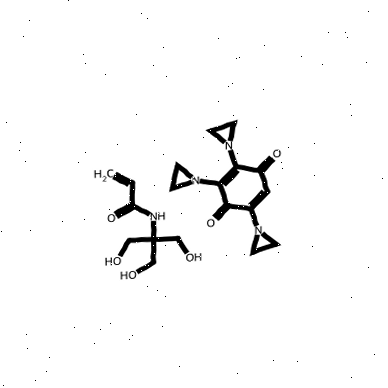 C=CC(=O)NC(CO)(CO)CO.O=C1C=C(N2CC2)C(=O)C(N2CC2)=C1N1CC1